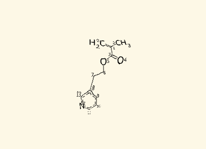 C=C(C)C(=O)OCCc1cccnc1